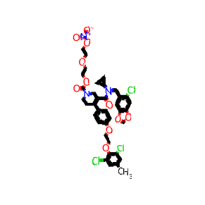 Cc1cc(Cl)c(OCCOc2ccc(C3=C(C(=O)N(Cc4cc5c(cc4Cl)OCO5)C4CC4)CN(C(=O)OCCOCCO[N+](=O)[O-])CC3)cc2)c(Cl)c1